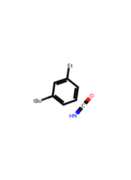 CCc1cccc(C(C)(C)C)c1.N=C=O